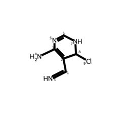 N=CC1=C(N)N=CNC1Cl